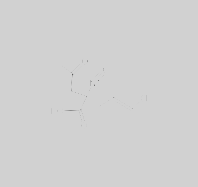 [C-]#[N+][C@](C/C=C/Cl)(CC(C)=O)C(=O)O